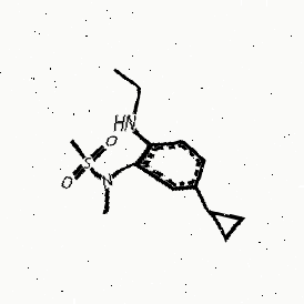 CCNc1ccc(C2CC2)cc1N(C)S(C)(=O)=O